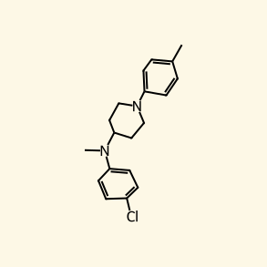 Cc1ccc(N2CCC(N(C)c3ccc(Cl)cc3)CC2)cc1